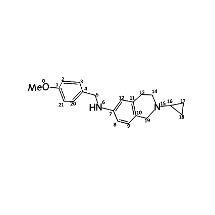 COc1ccc(CNc2ccc3c(c2)CCN(C2CC2)C3)cc1